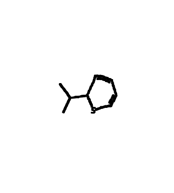 CC(C)C1C=CC=CS1